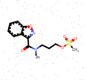 CC(C)N(CCCOS(C)(=O)=O)C(=O)c1noc2ccccc12